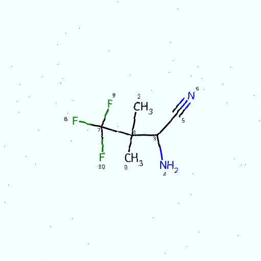 CC(C)(C(N)C#N)C(F)(F)F